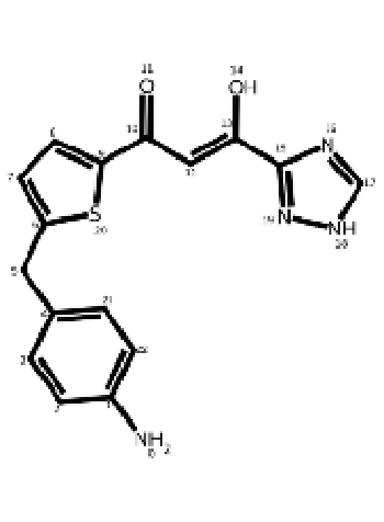 Nc1ccc(Cc2ccc(C(=O)C=C(O)c3nc[nH]n3)s2)cc1